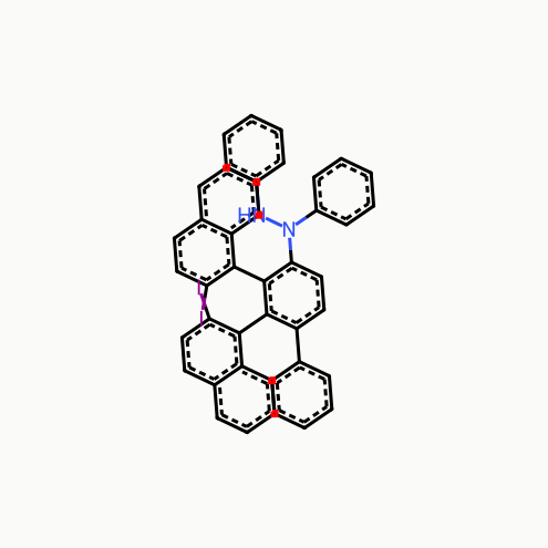 Ic1ccc2ccccc2c1-c1c(-c2ccccc2)ccc(N(Nc2ccccc2)c2ccccc2)c1-c1c(I)ccc2ccccc12